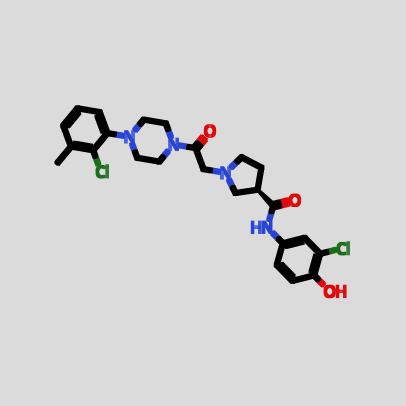 Cc1cccc(N2CCN(C(=O)CN3CC[C@@H](C(=O)Nc4ccc(O)c(Cl)c4)C3)CC2)c1Cl